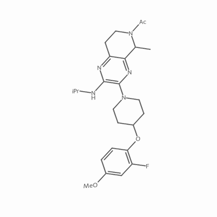 COc1ccc(OC2CCN(c3nc4c(nc3NC(C)C)CCN(C(C)=O)C4C)CC2)c(F)c1